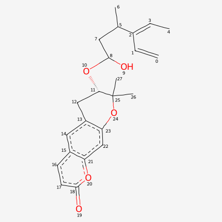 C=C/C(=C\C)C(C)CC(O)O[C@H]1Cc2cc3ccc(=O)oc3cc2OC1(C)C